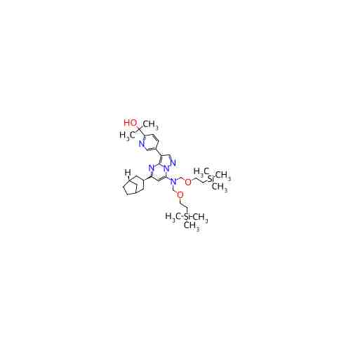 CC(C)(O)c1ccc(-c2cnn3c(N(COCC[Si](C)(C)C)COCC[Si](C)(C)C)cc([C@H]4CC5CC[C@@H](C5)C4)nc23)cn1